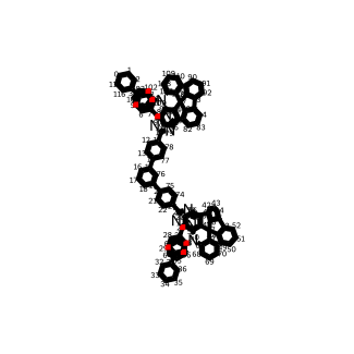 c1ccc(-c2ccc(-c3nc(-c4ccc(-c5cccc(-c6ccc(-c7nc(-c8ccc(-c9ccccc9)cc8)nc(-c8cccc9c8C8(c%10ccccc%10-9)c9ccccc9N(c9ccccc9)c9ccccc98)n7)cc6)c5)cc4)nc(-c4cccc5c4C4(c6ccccc6-5)c5ccccc5N(c5ccccc5)c5ccccc54)n3)cc2)cc1